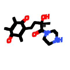 CC1=C(C)C(=O)C(CC[C@](C)(O)C(=O)N2CCNCC2)=C(C)C1=O